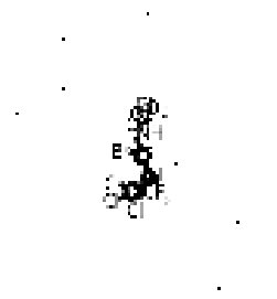 CS(=O)(=O)CC(=O)NCc1ccc(C2=NCC(c3cc(Cl)c(Cl)c(Cl)c3)(C(F)(F)F)C2)cc1Br